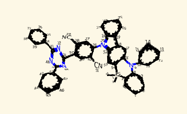 C[Si]1(C)c2ccccc2N(c2ccccc2)c2cc3c4ccccc4n(-c4cc(C#N)c(-c5nc(-c6ccccc6)nc(-c6ccccc6)n5)cc4C#N)c3cc21